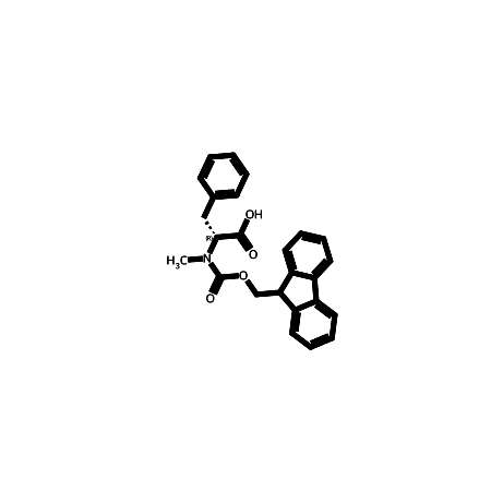 CN(C(=O)OCC1c2ccccc2-c2ccccc21)[C@H](Cc1ccccc1)C(=O)O